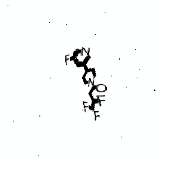 O=C(CC(F)C(F)F)N1CCC(c2cncc(F)c2)CC1